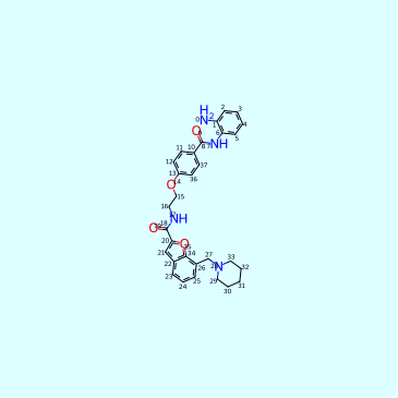 Nc1ccccc1NC(=O)c1ccc(OCCNC(=O)c2cc3cccc(CN4CCCCC4)c3o2)cc1